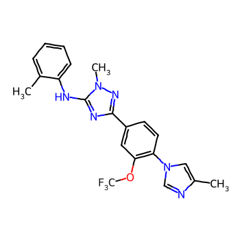 Cc1cn(-c2ccc(-c3nc(Nc4ccccc4C)n(C)n3)cc2OC(F)(F)F)cn1